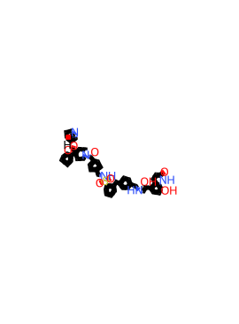 O=C(c1ccc(CNS(=O)(=O)c2ccccc2Cc2ccc(CNC[C@H](O)c3ccc(O)c4[nH]c(=O)ccc34)cc2)cc1)N1CCC(C(=O)O[C@H]2CN3CCC2CC3)(c2ccccc2)CC1